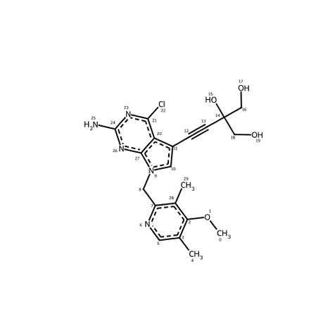 COc1c(C)cnc(Cn2cc(C#CC(O)(CO)CO)c3c(Cl)nc(N)nc32)c1C